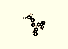 CC(C)c1cc(C(C)C)c2oc3ccc(-c4cccc(N(c5ccc6c(c5)C(C)(C)c5ccccc5-6)c5ccc6c(c5)C5(CC7CCC5C7)c5ccccc5-6)c4)cc3c2c1